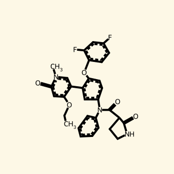 CCOc1cc(=O)n(C)cc1-c1cc(N(C(=O)C2CCNC2=O)c2ccccc2)ccc1Oc1ccc(F)cc1F